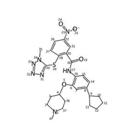 CN1CCC(Oc2cc(C3CCCC3)ccc2NC(=O)c2cc([N+](=O)[O-])ccc2Sc2nnnn2C)CC1